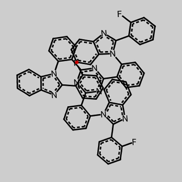 Fc1ccccc1-c1nc2ccccc2n1-c1ccccc1-c1nc(-c2ccccc2-n2c(-c3ccccc3F)nc3ccccc32)nc(-c2ccccc2-n2c(-c3ccccc3F)nc3ccccc32)n1